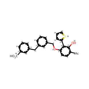 CC(=O)c1ccc(OCc2cccc(Cc3cccc(C(=O)O)c3)c2)c(-c2cccs2)c1O